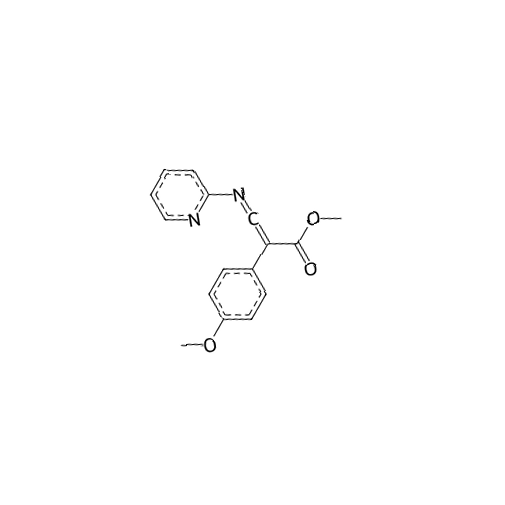 COC(=O)C(=C=Nc1ccccn1)c1ccc(OC)cc1